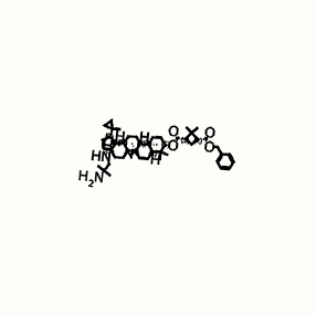 CC(C)(N)CN[C@]12CC[C@@H](C3(C)CC3)[C@@H]1[C@H]1CC[C@@H]3[C@@]4(C)CC[C@H](OC(=O)[C@H]5C[C@@H](C(=O)OCc6ccccc6)C5(C)C)C(C)(C)[C@@H]4CC[C@@]3(C)[C@]1(C)CC2